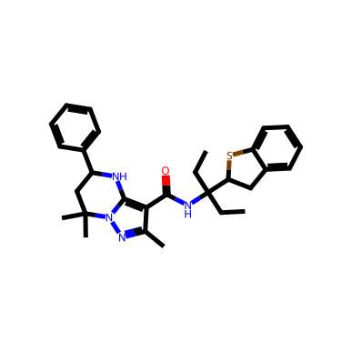 CCC(CC)(NC(=O)c1c(C)nn2c1NC(c1ccccc1)CC2(C)C)C1Cc2ccccc2S1